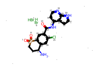 Br.Br.N[C@H]1CCS(=O)(=O)c2cc(C(=O)Nc3ccnc4[nH]ccc34)c(Cl)cc21